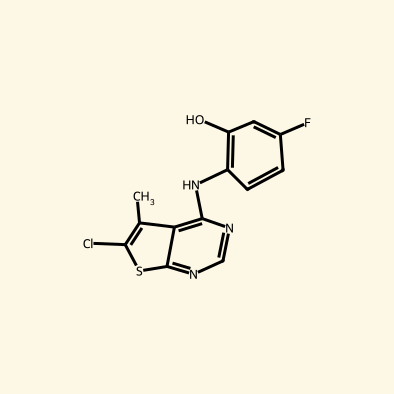 Cc1c(Cl)sc2ncnc(Nc3ccc(F)cc3O)c12